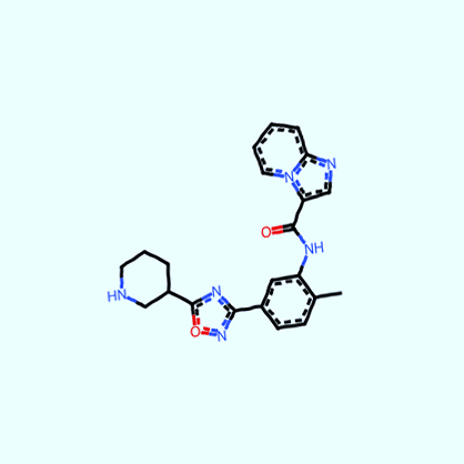 Cc1ccc(-c2noc(C3CCCNC3)n2)cc1NC(=O)c1cnc2ccccn12